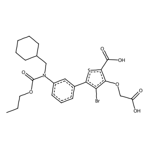 CCCOC(=O)N(CC1CCCCC1)c1cccc(-c2sc(C(=O)O)c(OCC(=O)O)c2Br)c1